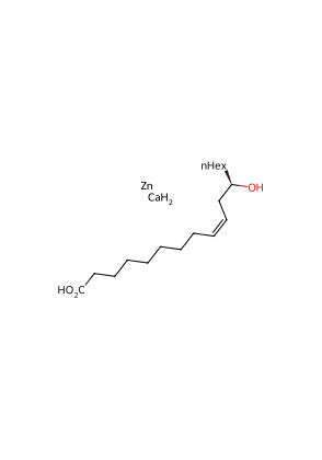 CCCCCC[C@@H](O)C/C=C\CCCCCCCC(=O)O.[CaH2].[Zn]